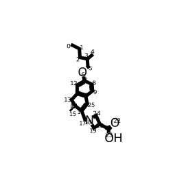 CCCC(C)COc1ccc2c(c1)C[C@H](C)C(CN1CC(C(=O)O)C1)=C2